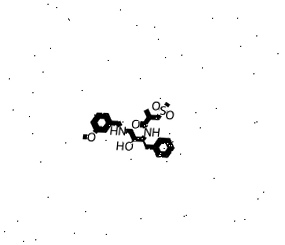 COc1cccc(CNC[C@@H](O)[C@H](Cc2ccccc2)NC(=O)C(C)CS(C)(=O)=O)c1